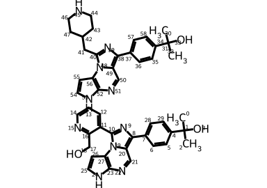 CC(C)(O)c1ccc(-c2nc(-c3cccnc3CO)n3c2cnc2[nH]ccc23)cc1.CC(C)(O)c1ccc(-c2nc(CC3CCNCC3)n3c2cnc2[nH]ccc23)cc1